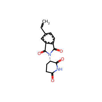 C=Cc1ccc2c(c1)C(=O)N([C@H]1CCC(=O)NC1=O)C2=O